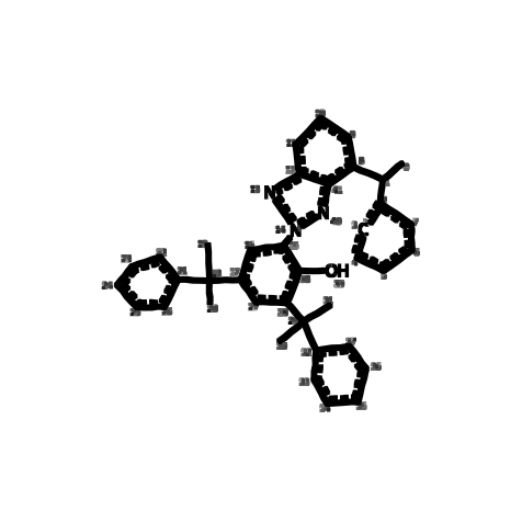 CC(c1ccccc1)c1cccc2nn(-c3cc(C(C)(C)c4ccccc4)cc(C(C)(C)c4ccccc4)c3O)nc12